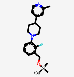 Cc1cc(C2CCN(c3cccc(CO[Si](C)(C)C(C)(C)C)c3F)CC2)ccn1